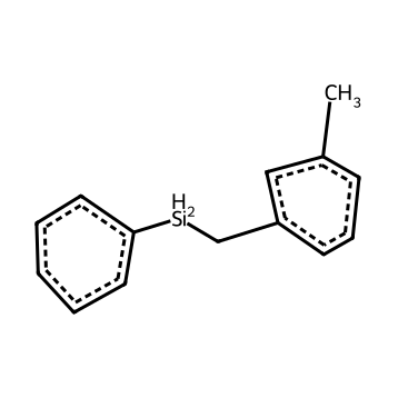 Cc1cccc(C[SiH2]c2ccccc2)c1